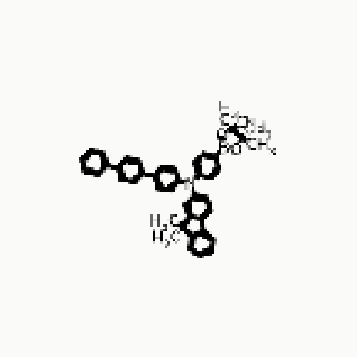 CC1(C)c2ccccc2-c2ccc(N(c3ccc(B4OC(C)(C)C(C)(C)O4)cc3)c3ccc(-c4ccc(-c5ccccc5)cc4)cc3)cc21